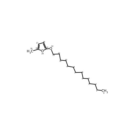 CCCCCCCCCCCCCCOc1ccc(C)o1